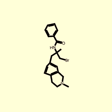 CN1CCc2ccc(CC(C)(CBr)NC(=O)c3ccccc3)cc2C1